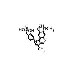 COc1cc2ncc3c(C)cn(-c4ccc(CP(=O)(O)O)cc4)c3c2cc1OC